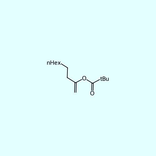 C=C(CCCCCCCC)OC(=O)C(C)(C)C